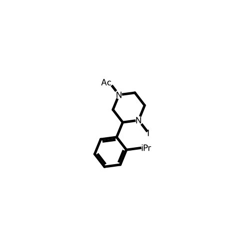 CC(=O)N1CCN(I)C(c2ccccc2C(C)C)C1